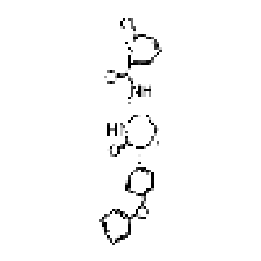 O=C(NC[C@@H]1CCS[C@H](c2ccc(Oc3ccccc3)cc2)C(=O)N1)c1cccc(Cl)n1